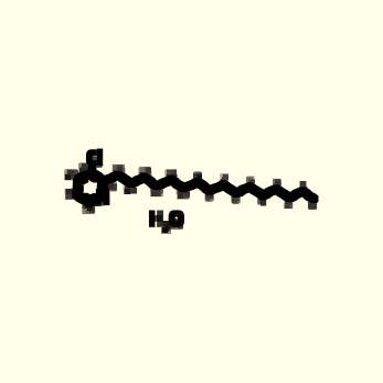 CCCCCCCCCCCCCCCCc1ncccc1Cl.O